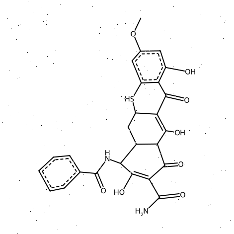 COc1cc(O)c2c(c1)[SH]C1CC3C(NC(=O)c4ccccc4)C(O)=C(C(N)=O)C(=O)C3C(O)=C1C2=O